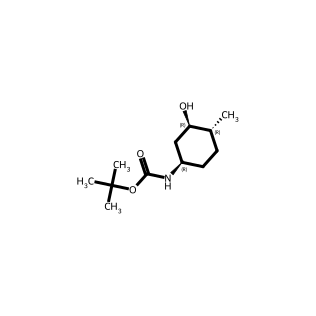 C[C@@H]1CC[C@@H](NC(=O)OC(C)(C)C)C[C@H]1O